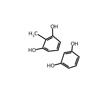 Cc1c(O)cccc1O.Oc1cccc(O)c1